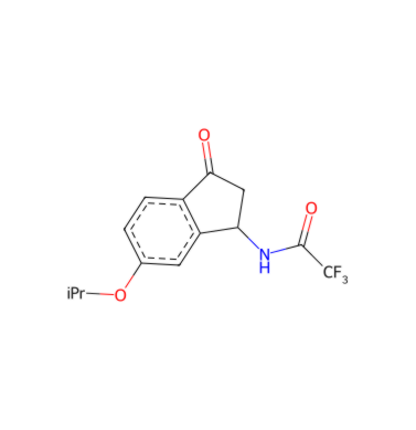 CC(C)Oc1ccc2c(c1)C(NC(=O)C(F)(F)F)CC2=O